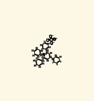 [O-][Cl+3]([O-])([O-])[O-].c1ccc(-c2cc(-c3ccccc3)[n+](-c3ccccc3)c(-c3ccccc3)c2)cc1